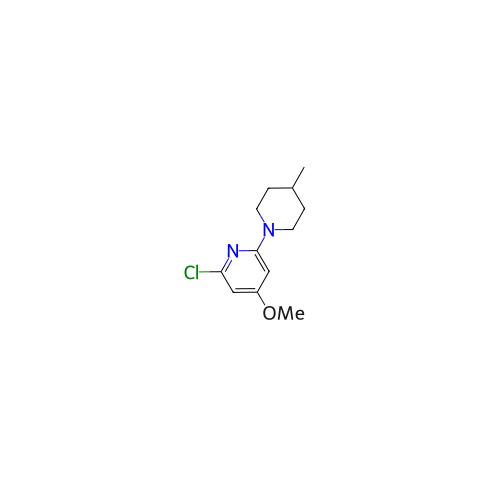 COc1cc(Cl)nc(N2CCC(C)CC2)c1